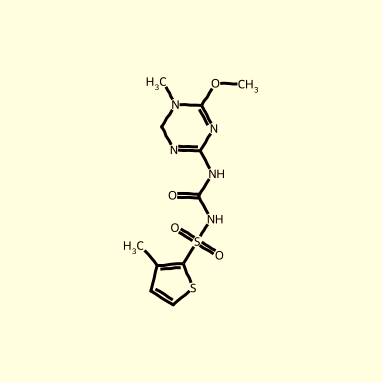 COC1=NC(NC(=O)NS(=O)(=O)c2sccc2C)=NCN1C